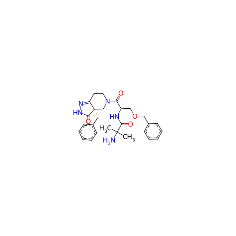 CC(C)(N)C(=O)N[C@H](COCc1ccccc1)C(=O)N1CCC2=NNC(=O)[C@]2(Cc2ccccc2)C1